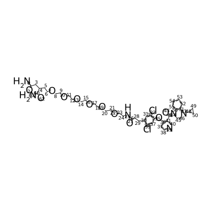 NC(=O)CC(CCOCCOCCOCCOCCOCCOCCNC(=O)CCc1cc(Cl)c(Oc2ccncc2C(=O)N2CCN(C3CC3)c3ccccc32)cc1Cl)C(N)=O